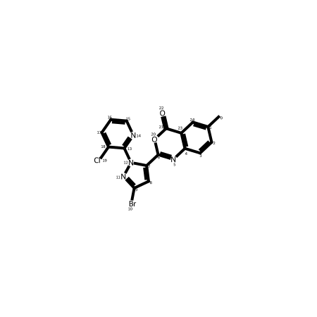 Cc1ccc2nc(-c3cc(Br)nn3-c3ncccc3Cl)oc(=O)c2c1